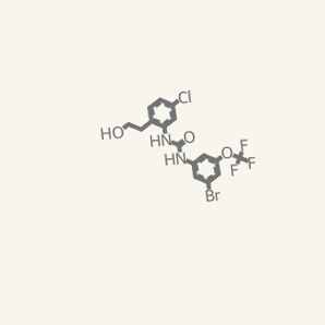 O=C(Nc1cc(Br)cc(OC(F)(F)F)c1)Nc1cc(Cl)ccc1CCO